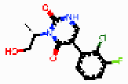 C[C@@H](CO)n1c(=O)[nH]cc(-c2cccc(F)c2Cl)c1=O